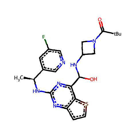 C[C@H](Nc1nc(C(O)NC2CN(C(=O)C(C)(C)C)C2)c2sccc2n1)c1cncc(F)c1